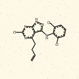 C=CCCc1nc(Cl)nc2[nH]nc(Nc3c(Cl)cccc3Cl)c12